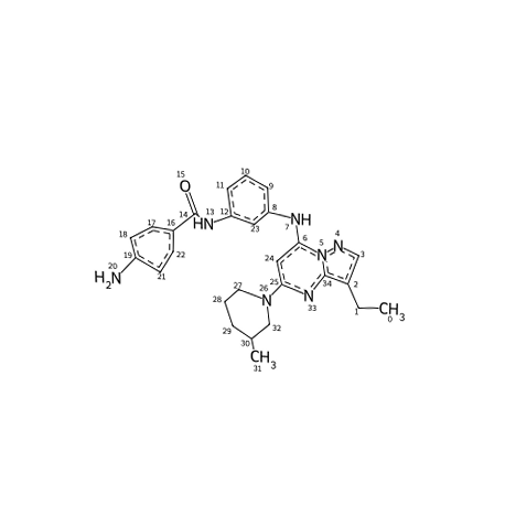 CCc1cnn2c(Nc3cccc(NC(=O)c4ccc(N)cc4)c3)cc(N3CCCC(C)C3)nc12